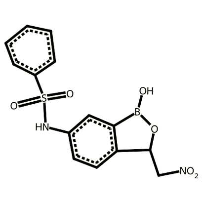 O=[N+]([O-])CC1OB(O)c2cc(NS(=O)(=O)c3ccccc3)ccc21